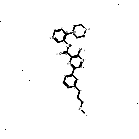 Nc1ncc(-c2cccc(CCCNI)c2)nc1C(=O)Nc1cnccc1N1CCOCC1